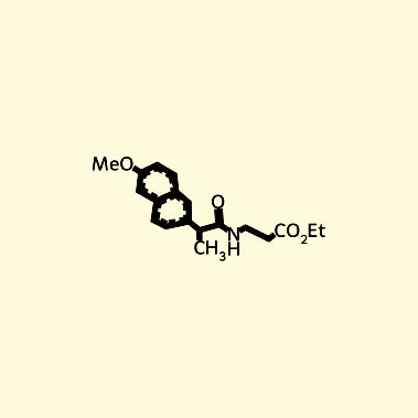 CCOC(=O)CCNC(=O)C(C)c1ccc2cc(OC)ccc2c1